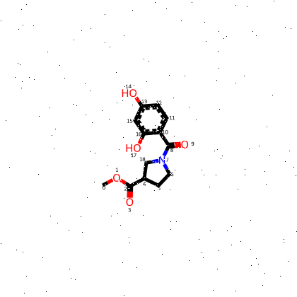 COC(=O)C1CCN(C(=O)c2ccc(O)cc2O)C1